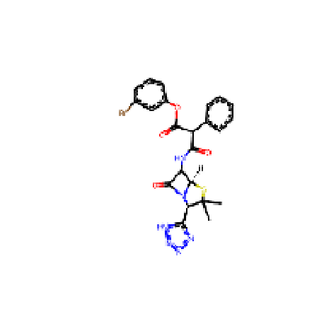 CC1(C)S[C@@H]2C(NC(=O)C(C(=O)Oc3cccc(Br)c3)c3ccccc3)C(=O)N2C1c1nnn[nH]1